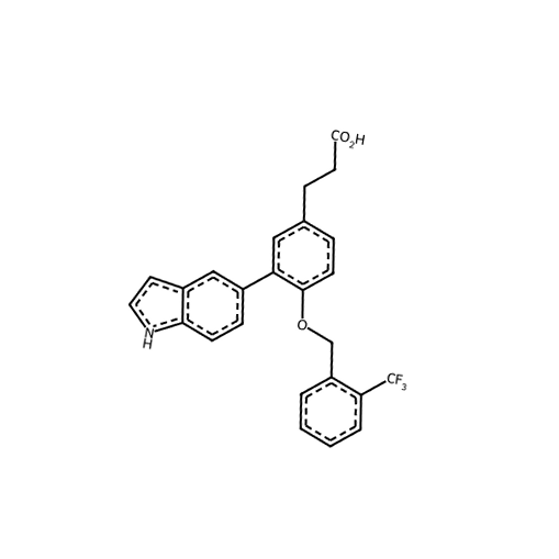 O=C(O)CCc1ccc(OCc2ccccc2C(F)(F)F)c(-c2ccc3[nH]ccc3c2)c1